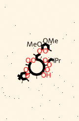 CO[C@@H]1[C@H](C)[C@@H](C)O[C@@H](OC[C@H](C)[C@H]2OC(=O)[C@H](C)[C@@H](O[C@H]3CC(C)(C)[C@@H](C)[C@H](C)O3)[C@H](C)C[C@@H](C)C[C@](C)(O)C(=O)[C@H](C)[C@H](OC(=O)CC(C)C)[C@H]2C)[C@@H]1OC